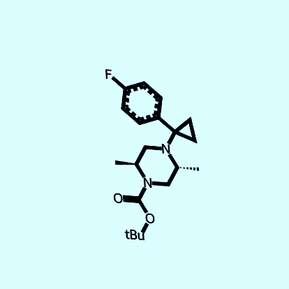 C[C@@H]1CN(C(=O)OC(C)(C)C)[C@@H](C)CN1C1(c2ccc(F)cc2)CC1